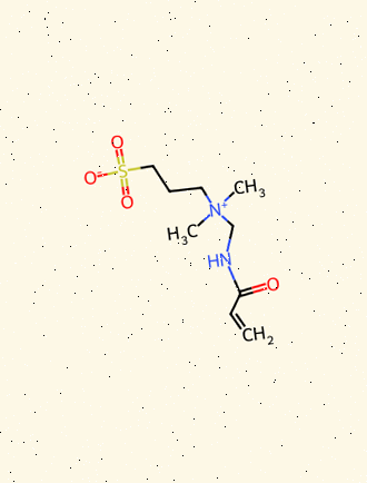 C=CC(=O)NC[N+](C)(C)CCCS(=O)(=O)[O-]